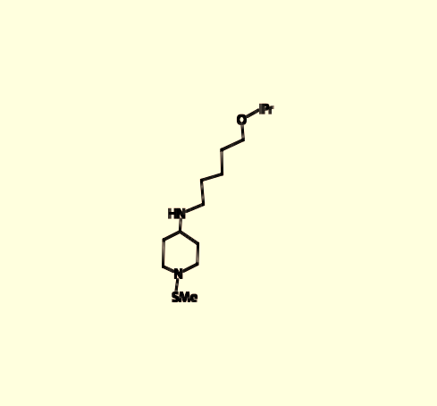 CSN1CCC(NCCCCCOC(C)C)CC1